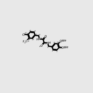 COc1ccc(CNC(=O)C(=O)NCc2ccc(Cl)c(C(F)(F)F)c2)cc1OC